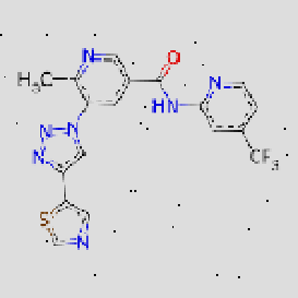 Cc1ncc(C(=O)Nc2cc(C(F)(F)F)ccn2)cc1-n1cc(-c2cncs2)nn1